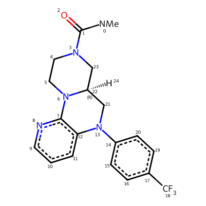 CNC(=O)N1CCN2c3ncccc3N(c3ccc(C(F)(F)F)cc3)C[C@@H]2C1